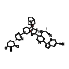 C[C@H](C#N)Nc1cc(-c2ccc3cc(C#N)cnn23)ncc1-c1nnc(N2CC3CCC(C2)N3CC2CCN(c3ccc([C@H]4CCC(=O)NC4=O)cn3)CC2)s1